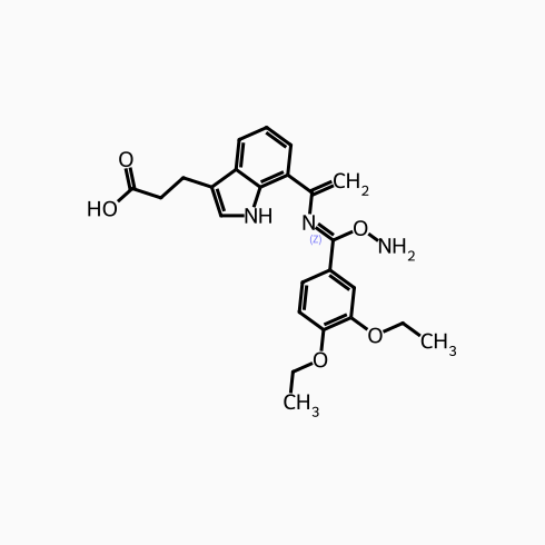 C=C(/N=C(\ON)c1ccc(OCC)c(OCC)c1)c1cccc2c(CCC(=O)O)c[nH]c12